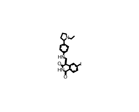 CCN1CCCC1c1ccc(N/C=C2\C(=O)NC(=O)c3ccc(I)cc32)cc1